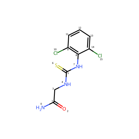 NC(=O)CNC(=S)Nc1c(Cl)cccc1Cl